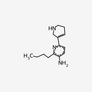 CCCCc1nc(C2=CCCNC2)ccc1N